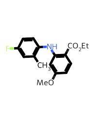 CCOC(=O)c1ccc(OC)cc1Nc1ccc(F)cc1C